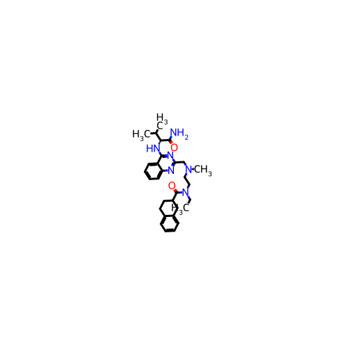 CCN(CCN(C)Cc1nc(N[C@H](C(N)=O)C(C)C)c2ccccc2n1)C(=O)C1CCc2ccccc2C1